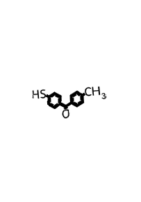 Cc1ccc(C(=O)c2ccc(S)cc2)cc1